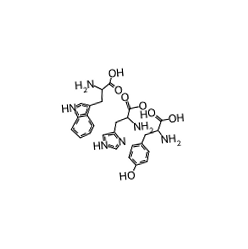 NC(Cc1c[nH]c2ccccc12)C(=O)O.NC(Cc1c[nH]cn1)C(=O)O.NC(Cc1ccc(O)cc1)C(=O)O